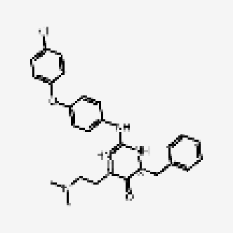 CN(C)CCNC(=O)[C@H](Cc1ccccc1)NC(=N)Nc1ccc(Oc2ccc(Cl)cc2)cc1